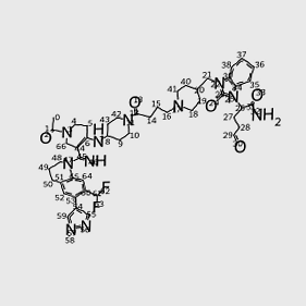 CC(=O)N1CCC(NC2CCN(C(=O)CCCN3CCC(Cn4c(=O)n(C(CCC=O)C(N)=O)c5ccccc54)CC3)CC2)=C(C(=N)N2CCCc3cc(-c4cnn(C)c4)c(C(F)F)cc32)C1